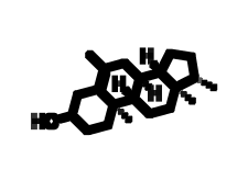 CC1=C2CC(O)CC[C@]2(C)[C@H]2CC[C@]3(C)[C@@H](C)CC[C@H]3[C@@H]2C1